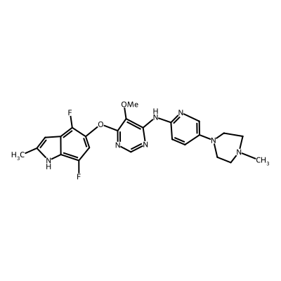 COc1c(Nc2ccc(N3CCN(C)CC3)cn2)ncnc1Oc1cc(F)c2[nH]c(C)cc2c1F